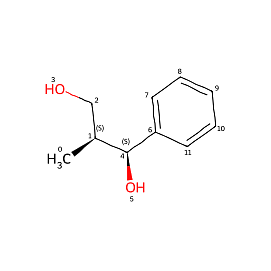 C[C@@H](CO)[C@H](O)c1ccccc1